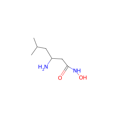 CC(C)CC(N)CC(=O)NO